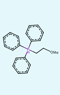 COCC[PH](c1ccccc1)(c1ccccc1)c1ccccc1